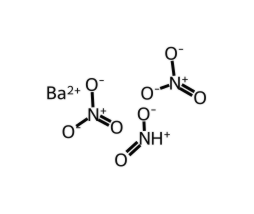 O=[N+]([O-])[O-].O=[N+]([O-])[O-].O=[NH+][O-].[Ba+2]